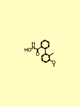 COc1cccc(-c2ccccc2C(=O)NO)c1C